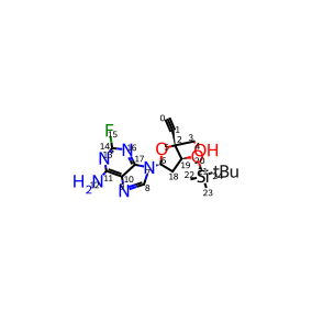 C#C[C@]1(CO)O[C@@H](n2cnc3c(N)nc(F)nc32)C[C@@H]1O[Si](C)(C)C(C)(C)C